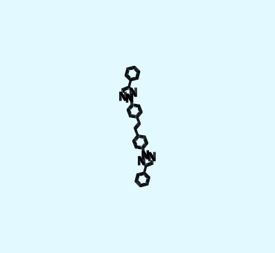 C(=Cc1ccc(-n2ncc(-c3ccccc3)n2)cc1)c1ccc(-n2ncc(-c3ccccc3)n2)cc1